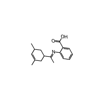 CC1=CC(C)CC(C(C)=Nc2ccccc2C(=O)O)C1